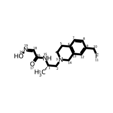 C[C@@H](CN1CCc2ccc(CF)cc2C1)NC(=O)/C=N\O